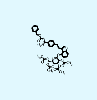 CC(=O)OC[C@H]1O[C@@H](Oc2cccc3occ(CCc4ccc(/C(N)=N/C(=O)OCc5ccccc5)cc4)c23)[C@H](OC(C)=O)[C@@H](OC(C)=O)[C@@H]1OC(C)=O